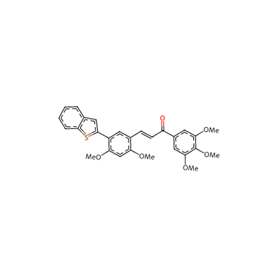 COc1cc(OC)c(-c2cc3ccccc3s2)cc1/C=C/C(=O)c1cc(OC)c(OC)c(OC)c1